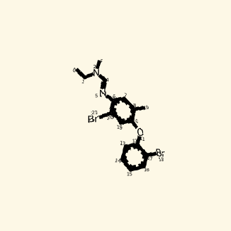 CCN(C)C=Nc1cc(C)c(Oc2ccccc2Br)cc1Br